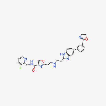 O=C(NCc1ncccc1F)c1coc(CCNCCc2nc3cc(-c4cccc(-c5ncco5)c4)ccc3[nH]2)n1